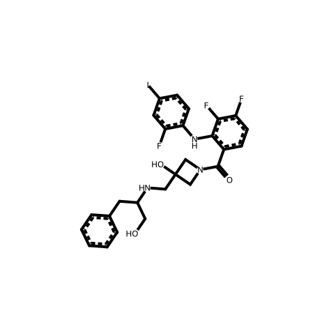 O=C(c1ccc(F)c(F)c1Nc1ccc(I)cc1F)N1CC(O)(CNC(CO)Cc2ccccc2)C1